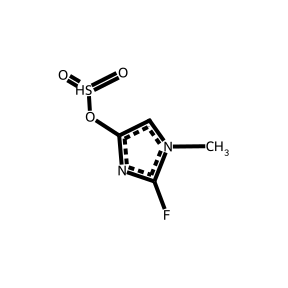 Cn1cc(O[SH](=O)=O)nc1F